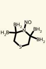 BC1(B)CSCC(B)(B)N1N=O